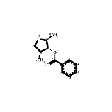 B[C@@H]1OC[C@H](C)[C@H]1OC(=O)c1ccccc1